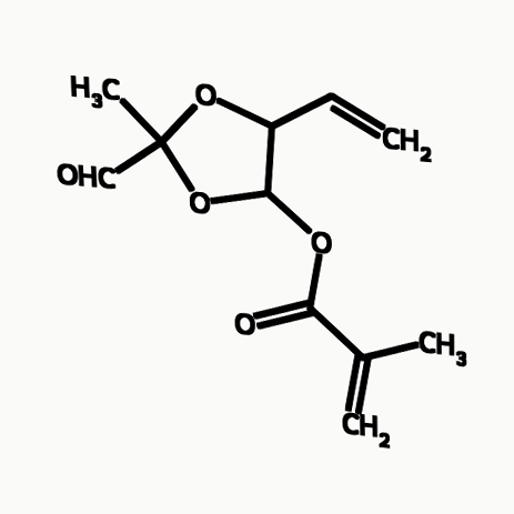 C=CC1OC(C)(C=O)OC1OC(=O)C(=C)C